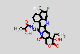 CC[C@@]1(O)C(=O)OCc2c1cc1n(c2=O)Cc2c-1nc1cc(F)c(C)c3c1c2[C@H](N(C)C(=O)C(C)O)CC3